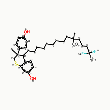 CC(CCCCCCCCCC1c2ccc(O)cc2SCC1(C)c1ccc(O)cc1)(CCCC(F)(F)C(F)(F)F)C(=O)O